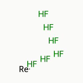 F.F.F.F.F.F.[Re]